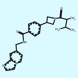 CC(C)C(C)C(=O)N1CC(c2ccc(C(=O)NCc3ccn4ccnc4c3)cc2)C1